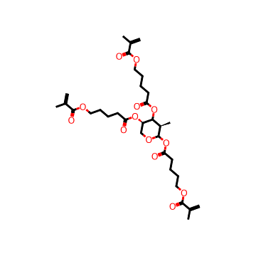 C=C(C)C(=O)OCCCCC(=O)OC1OC[C@@H](OC(=O)CCCCOC(=O)C(=C)C)C(OC(=O)CCCCOC(=O)C(=C)C)[C@H]1C